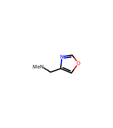 CNCc1cocn1